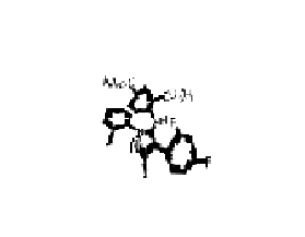 COc1ccc(Nc2c(-c3ccc(F)cc3F)c(C)nn2-c2ccccc2C)c(C(=O)O)c1